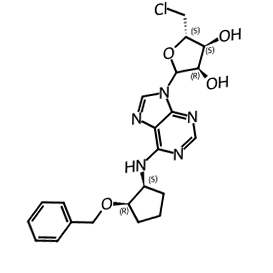 O[C@@H]1[C@@H](CCl)OC(n2cnc3c(N[C@H]4CCC[C@H]4OCc4ccccc4)ncnc32)[C@@H]1O